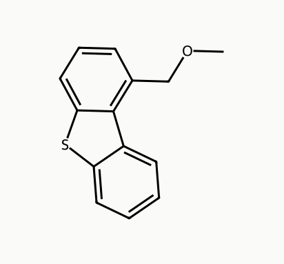 COCc1cccc2sc3ccccc3c12